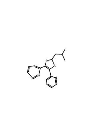 CC(C)CC1SC(c2ccccn2)=C(c2ccccn2)S1